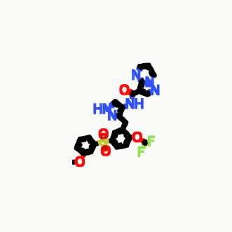 COc1cccc(S(=O)(=O)c2ccc(OC(F)F)c(Cc3n[nH]cc3NC(=O)c3cnn4cccnc34)c2)c1